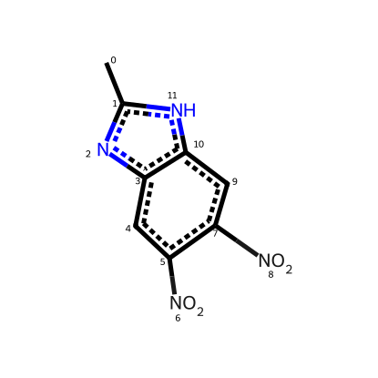 Cc1nc2cc([N+](=O)[O-])c([N+](=O)[O-])cc2[nH]1